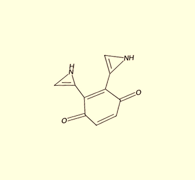 O=C1C=CC(=O)C(C2=CN2)=C1C1=CN1